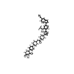 CC(C)Nc1cc(-c2ccc3cc(C#N)cnn23)ncc1-c1nnc(N2CCN(C(=O)CC3CCN(c4ccc([C@H]5CCC(=O)NC5=O)cn4)CC3)CC2)s1